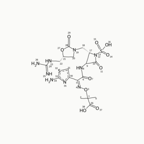 CC(C)(O/N=C(\C(=O)NC1C(=O)N(S(=O)(=O)O)[C@H]1CN1C[C@H](CNC(=N)N)OC1=O)c1csc(N)n1)C(=O)O